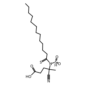 CCCCCCCCCCCCC(=S)N([SH](=O)=O)C(C)(C#N)CCC(=O)O